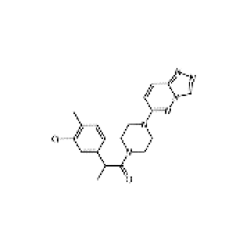 Cc1ccc(C(C)C(=O)N2CCN(c3ccc4nncn4n3)CC2)cc1Cl